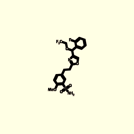 COc1ccc(CCc2nc(C(OCC(F)(F)F)c3ccccc3F)co2)cc1S(N)(=O)=O